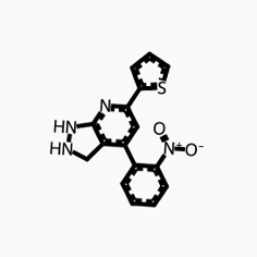 O=[N+]([O-])c1ccccc1-c1cc(-c2cccs2)nc2c1CNN2